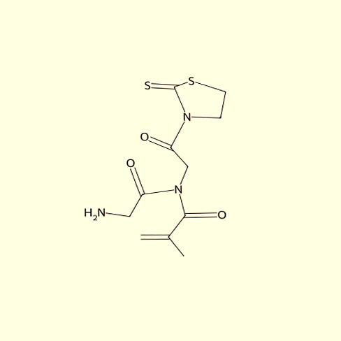 C=C(C)C(=O)N(CC(=O)N1CCSC1=S)C(=O)CN